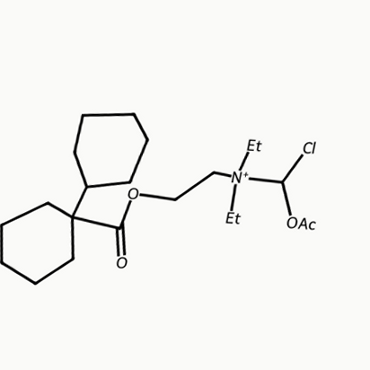 CC[N+](CC)(CCOC(=O)C1(C2CCCCC2)CCCCC1)C(Cl)OC(C)=O